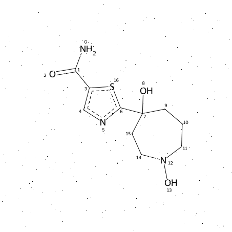 NC(=O)c1cnc(C2(O)CCCN(O)CC2)s1